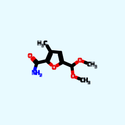 COC(OC)c1cc(C)c(C(N)=O)o1